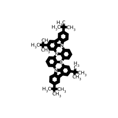 CC(C)(C)c1ccc2c(c1)c1cc(C(C)(C)C)cc3c1n2-c1cccc2c1B3c1cccc3c1N2c1cc(C(C)(C)C)cc2c4cc(C(C)(C)C)ccc4n-3c12